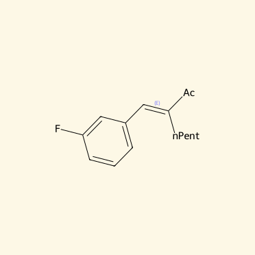 CCCCC/C(=C\c1cccc(F)c1)C(C)=O